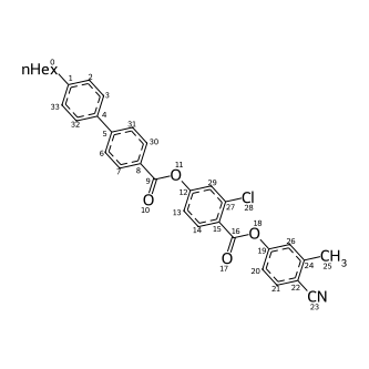 CCCCCCc1ccc(-c2ccc(C(=O)Oc3ccc(C(=O)Oc4ccc(C#N)c(C)c4)c(Cl)c3)cc2)cc1